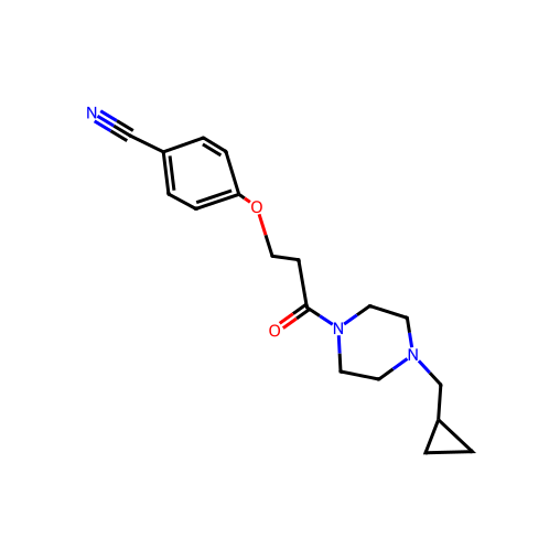 N#Cc1ccc(OCCC(=O)N2CCN(CC3CC3)CC2)cc1